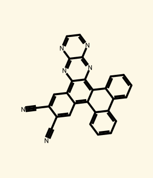 N#Cc1cc2c(cc1C#N)c1c3ccccc3c3ccccc3c1c1nc3nccnc3nc21